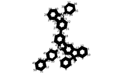 CC1(c2ccccc2)c2ccccc2-c2cc3c4cc(-c5ccc6c(c5)c5ccccc5n6C5C=CC=CC5)ccc4n(C4=CC=C(c5ccccc5)CC4)c3cc21